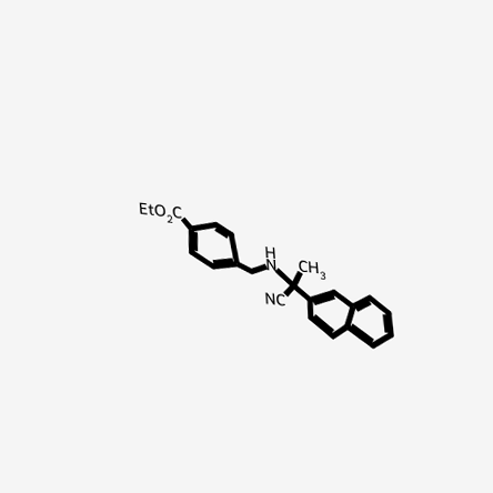 CCOC(=O)c1ccc(CNC(C)(C#N)c2ccc3ccccc3c2)cc1